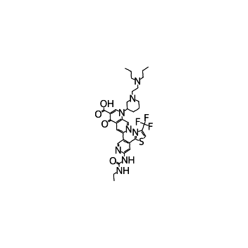 CCCN(CCC)CCN1CCCC(n2cc(C(=O)O)c(=O)c3cc(-c4cnc(NC(=O)NCC)cc4-c4nc(C(F)(F)F)cs4)ncc32)C1